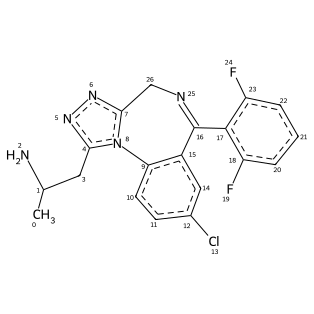 CC(N)Cc1nnc2n1-c1ccc(Cl)cc1C(c1c(F)cccc1F)=NC2